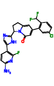 Nc1ccc(-c2cnc(C3CCc4cc(-c5cc(Cl)ccc5C(F)F)cc(=O)n43)[nH]2)c(F)n1